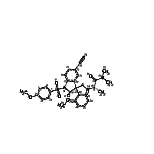 COc1ccc(S(=O)(=O)N2C(=O)C(CN[C@@H](C)C(=O)N(C)C)(c3ccccc3OC)c3cc(C#N)ccc32)cc1